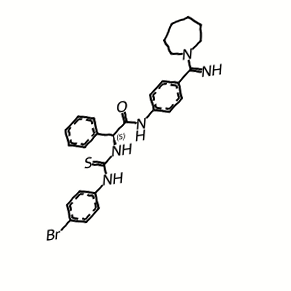 N=C(c1ccc(NC(=O)[C@@H](NC(=S)Nc2ccc(Br)cc2)c2ccccc2)cc1)N1CCCCCC1